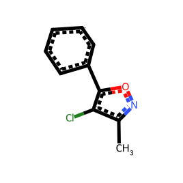 Cc1noc(-c2c[c]ccc2)c1Cl